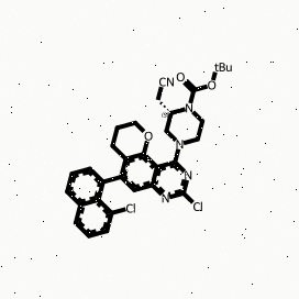 CC(C)(C)OC(=O)N1CCN(c2nc(Cl)nc3cc(-c4cccc5cccc(Cl)c45)c4c(c23)OCCC4)C[C@@H]1CC#N